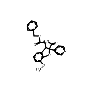 COc1cccc2c1OC(C(N)=O)(c1ccncc1)C2CC(=O)OCc1ccccc1